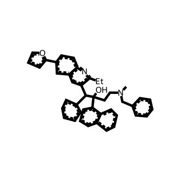 CCc1nc2ccc(-c3ccco3)cc2cc1C(c1ccccc1)C(O)(CCN(C)Cc1ccccc1)c1cccc2ccccc12